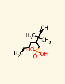 C#CC(C)(C)C(CCC=C)CP(=O)(O)O